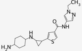 CCn1cc(NC(=O)c2csc(C3CC3NC3CCC(N)CC3)c2)cn1